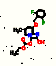 CCOC(=O)Oc1c(O)nc2c(OCc3c(F)cccc3F)cc(C)cn12